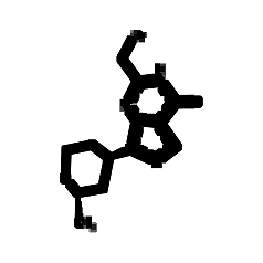 CC(C)Cc1nc2c(cnn2[C@@H]2CCO[C@@H](C)C2)c(=O)[nH]1